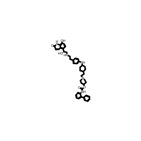 O=C(Nc1ccccc1-c1ccccc1)OC1CCN(CCC2CCC(Nc3ccc(CCNC[C@H](O)c4ccc(O)c5[nH]c(=O)ccc45)cc3)CC2)CC1